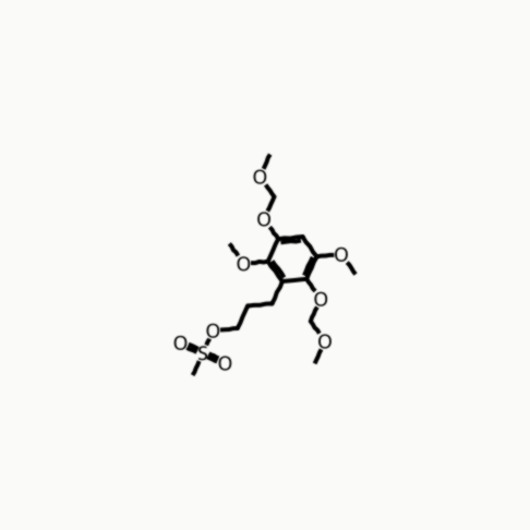 COCOc1cc(OC)c(OCOC)c(CCCOS(C)(=O)=O)c1OC